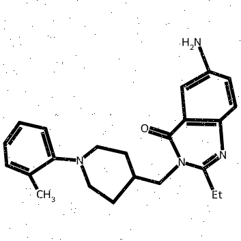 CCc1nc2ccc(N)cc2c(=O)n1CC1CCN(c2ccccc2C)CC1